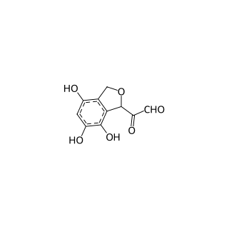 O=CC(=O)C1OCc2c(O)cc(O)c(O)c21